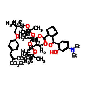 C=C(COc1ccc(C=C(C(=O)OCC)C(=O)OCC)cc1)[Si](C)(C)O[Si](C)(C)O[Si](C)(C)O[Si](C)(O[Si](C)(C)C)C(=C)COC(=O)c1ccccc1C(=O)c1ccc(N(CC)CC)cc1O